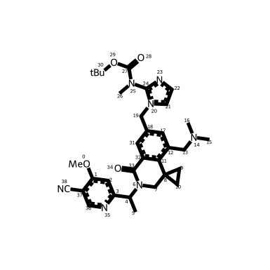 COc1cc(C(C)N2CC3(CC3)c3c(CN(C)C)cc(Cn4ccnc4N(C)C(=O)OC(C)(C)C)cc3C2=O)ncc1C#N